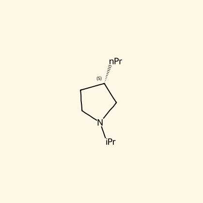 CCC[C@H]1CCN(C(C)C)C1